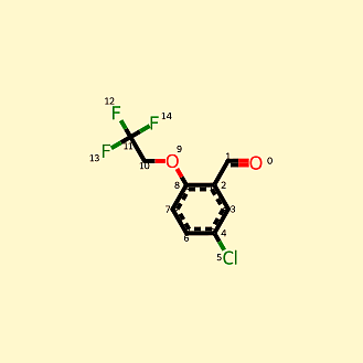 O=Cc1cc(Cl)ccc1OCC(F)(F)F